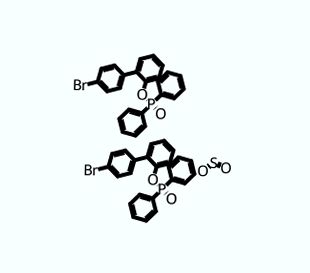 O=P(Oc1ccccc1-c1ccc(Br)cc1)(c1ccccc1)c1ccccc1.O=P(Oc1ccccc1-c1ccc(Br)cc1)(c1ccccc1)c1ccccc1.O=S=O